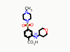 CN1CCN(S(=O)(=O)c2ccc(C(=O)O)c(NC3CCOCC3)c2)CC1